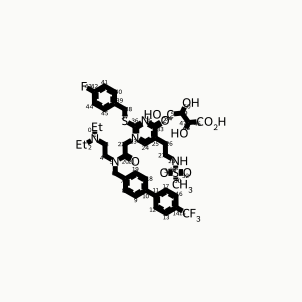 CCN(CC)CCN(Cc1ccc(-c2ccc(C(F)(F)F)cc2)cc1)C(=O)Cn1cc(CCNS(C)(=O)=O)c(=O)nc1SCc1ccc(F)cc1.O=C(O)C(O)C(O)C(=O)O